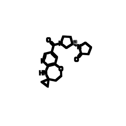 O=C(c1cnc2c(c1)OCCC1(CC1)N2)N1CC[C@H](N2CCCC2=O)C1